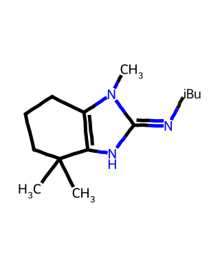 CCC(C)/N=c1/[nH]c2c(n1C)CCCC2(C)C